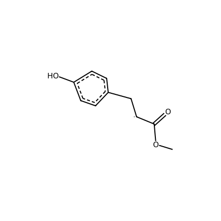 COC(=O)[CH]Cc1ccc(O)cc1